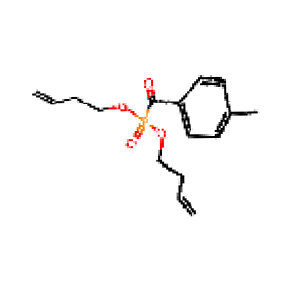 C=CCCOP(=O)(OCCC=C)C(=O)c1ccc(C)cc1